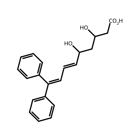 O=C(O)CC(O)CC(O)C=CC=C(c1ccccc1)c1ccccc1